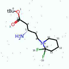 CC(C)(C)OC(=O)C[C@@H](N)CCN1CCCCC1(F)F